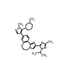 Cc1nc(-c2cn3c(n2)-c2ccc(-c4cnn(C)c4C4CCCN(C)C4)cc2OCC3)n(C(C)C)n1